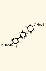 CCCCCCCc1ccc(-c2ncc([C@H]3CC[C@H](CCCCCCC)CC3)cn2)cc1F